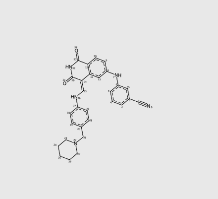 N#Cc1cccc(Nc2ccc3c(c2)C(=CNc2ccc(CN4CCCCC4)cc2)C(=O)NC3=O)c1